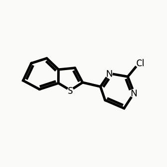 Clc1nccc(-c2cc3ccccc3s2)n1